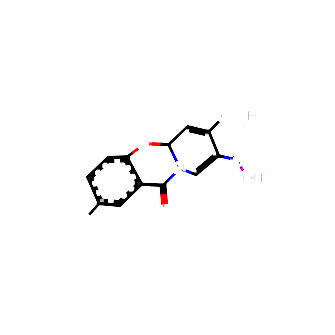 CC(C)c1ccc2c(c1)C(=O)N1C=C(NO)C(C(=O)O)=CC1O2